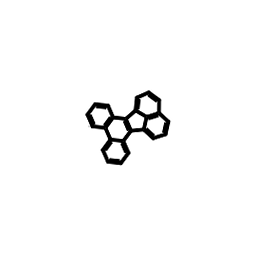 [c]1cccc2c3c(c4ccccc4c12)-c1cccc2cccc-3c12